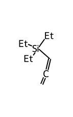 C=C=C[Si](CC)(CC)CC